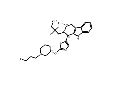 C[C@@H]1Cc2c([nH]c3ccccc23)[C@@H](c2cnc(O[C@H]3CCCN(CCCF)C3)s2)N1CC(F)(F)CO